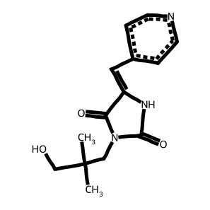 CC(C)(CO)CN1C(=O)N/C(=C\c2ccncc2)C1=O